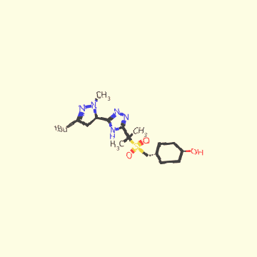 CN1N=C(C(C)(C)C)CC1c1nnc(C(C)(C)S(=O)(=O)C[C@H]2CC[C@H](O)CC2)[nH]1